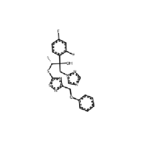 C[C@@H](Sc1nc(COc2ccccc2)ns1)C(O)(Cn1cncn1)c1ccc(F)cc1F